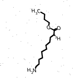 [3H]C(CCCCCCCCCN)C(=O)OCCCC